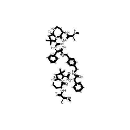 CN[C@@H](C)C(=O)N[C@H]1CCS[C@H]2CC(C)(C)[C@@H](C(=O)N[C@@H](C(=O)NCc3ccc(CNC(=O)[C@@H](NC(=O)[C@H]4N5C(=O)[C@H](NC(=O)[C@H](C)NC)CCS[C@H]5CC4(C)C)c4ccccc4)cc3)c3ccccc3)N2C1=O